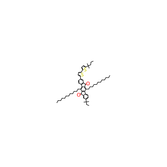 CCCCCCCCCCCCc1c2c(=O)c3cc(C(C)(C)CC)ccc3c2c(CCCCCCCCCCCC)c2c(=O)c3cc(-c4ccc(-c5ccc(C(C)(C)CCC)s5)s4)ccc3c12